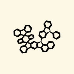 c1ccc(-n2c3ccccc3c3ccc(-n4c5cc6c(cc5c5ccc7ccccc7c54)-c4ccccc4C64c5ccccc5C5(c6ccccc6-c6ccccc65)c5ccccc54)cc32)cc1